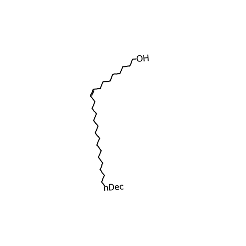 CCCCCCCCCCCCCCCCCCCCCCCC/C=C\CCCCCCCCO